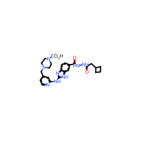 O=C(CC1CCC1)NNC(=O)c1ccc2nc(Nc3cc(CN4CCN(C(=O)O)CC4)ccn3)[nH]c2c1